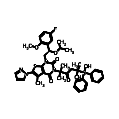 COc1ccc(F)cc1[C@H](Cn1c(=O)n(C(C)(C)C(=O)CC(C)(C)[Si](O)(c2ccccc2)c2ccccc2)c(=O)c2c(C)c(-n3cccn3)sc21)OC(C)C